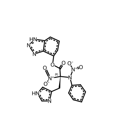 O=C(Oc1cccc2[nH]nnc12)[C@](Cc1c[nH]cn1)(N(c1ccccc1)[N+](=O)[O-])[N+](=O)[O-]